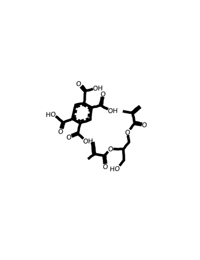 C=C(C)C(=O)OCC(CO)OC(=O)C(=C)C.O=C(O)c1cc(C(=O)O)c(C(=O)O)cc1C(=O)O